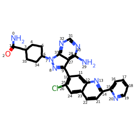 NC(=O)C1CCC(n2nc(-c3cc4nc(-c5ccccn5)ccc4cc3Cl)c3c(N)ncnc32)CC1